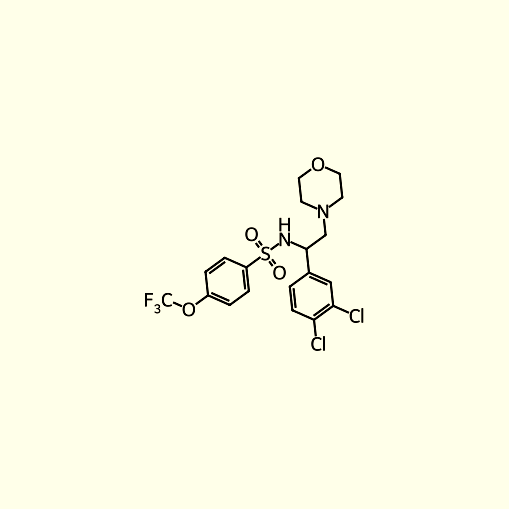 O=S(=O)(NC(CN1CCOCC1)c1ccc(Cl)c(Cl)c1)c1ccc(OC(F)(F)F)cc1